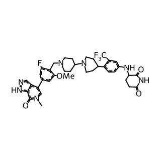 COc1cc(-c2cn(C)c(=O)c3[nH]ncc23)cc(F)c1CN1CCC(N2CCC(c3ccc(NC4CCC(=O)NC4=O)cc3C(F)(F)F)CC2)CC1